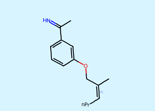 CCC/C=C(/C)COc1cccc(C(C)=N)c1